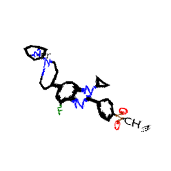 CC(C)N1C2CCC1CC(N1CCC(c3cc(F)c4nc(-c5ccc(S(C)(=O)=O)cc5)n(C5CC5)c4c3)CC1)C2